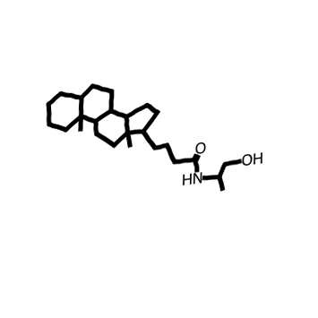 CC(CO)NC(=O)CCCC1CCC2C3CCC4CCCCC4(C)C3CCC12C